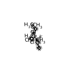 CC(C)Oc1cccc(CC(=O)N(C)CC(CC[N+]2(C)CCC(c3ccccc3)CC2)c2ccc(Cl)c(Cl)c2)c1.[I-]